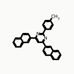 Cc1ccc(-c2nc(-c3ccc4ccccc4c3)cc(-c3ccc4ccccc4c3)n2)cc1